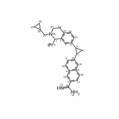 CC(C)C1c2cc(C3CC3c3ccc4cc(C(=N)N)ccc4c3)ccc2CCN1CC1CC1